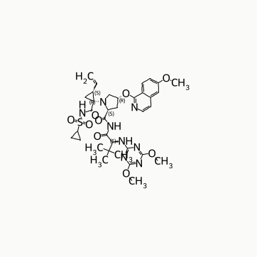 C=C[C@@H]1C[C@@]1(C(=O)NS(=O)(=O)C1CC1)N1C[C@H](Oc2nccc3cc(OC)ccc23)C[C@H]1C(=O)NC(=O)[C@@H](Nc1nc(OC)nc(OC)n1)C(C)(C)C